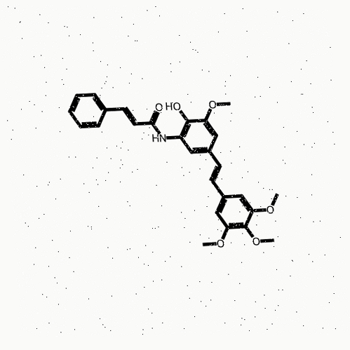 COc1cc(C=Cc2cc(OC)c(OC)c(OC)c2)cc(NC(=O)C=Cc2ccccc2)c1O